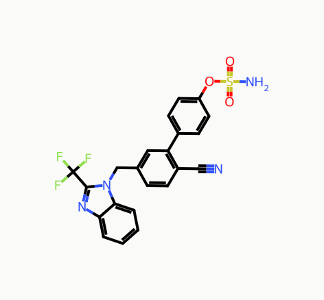 N#Cc1ccc(Cn2c(C(F)(F)F)nc3ccccc32)cc1-c1ccc(OS(N)(=O)=O)cc1